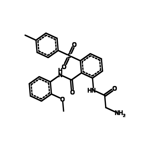 COc1ccccc1NC(=O)c1c(NC(=O)CN)cccc1S(=O)(=O)c1ccc(C)cc1